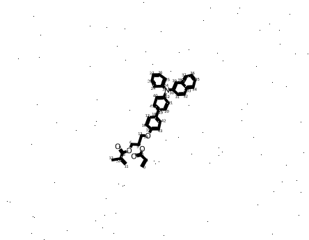 C=CC(=O)OC(COC(=O)C(=C)C)COc1ccc(-c2ccc(N(c3ccccc3)c3ccc4ccccc4c3)cc2)cc1